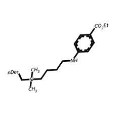 CCCCCCCCCCC[Si](C)(C)CCCCNc1ccc(C(=O)OCC)cc1